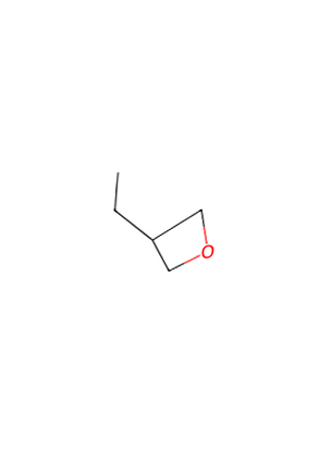 CCC1COC1